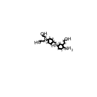 Nc1ccc(NCc2ccc(N(CCO)CCO)cc2)cc1CCO